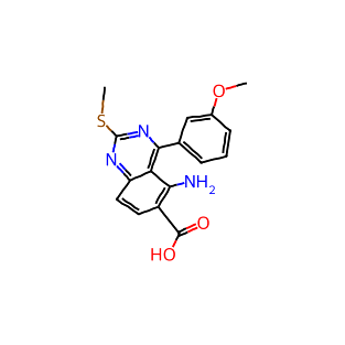 COc1cccc(-c2nc(SC)nc3ccc(C(=O)O)c(N)c23)c1